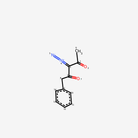 CC(=O)C(=[N+]=[N-])C(=O)Cc1ccccc1